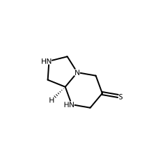 S=C1CN[C@H]2CNCN2C1